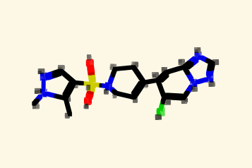 Cc1c(S(=O)(=O)N2CC=C(c3cc4ncnn4cc3Cl)CC2)cnn1C